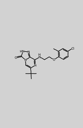 Cc1cc(Cl)ccc1OCCNc1nc(C(C)(C)C)cn2c(=O)[nH]nc12